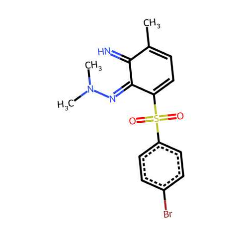 CC1=CC=C(S(=O)(=O)c2ccc(Br)cc2)/C(=N/N(C)C)C1=N